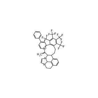 C=C1C2C(CCc3c(c(C(F)(F)F)c(C(F)(F)F)c(C(F)(F)F)c3C(F)(F)F)-c3cc(-c4ccccc4)cc[n+]31)c1cccc3c1C1N(C=CN21)CC3